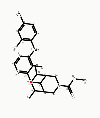 [C-]#[N+]c1ccc(Nc2ncnc(OC3C4CN(C(=O)OC(C)C)CC3C(C)OC4C)c2C)c(Cl)c1